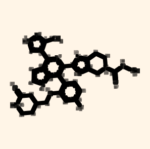 Cc1n[nH]cc1-c1nc(-c2nc3c(s2)CN(C(=O)OC(C)(C)C)CC3)c(-c2ccc(F)cc2OCC2CCNC(=O)C2)c2sccc12